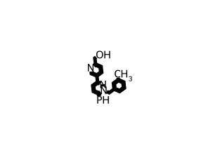 Cc1cccc(Cn2nc(-c3ccc(CO)nc3)ccc2=P)c1